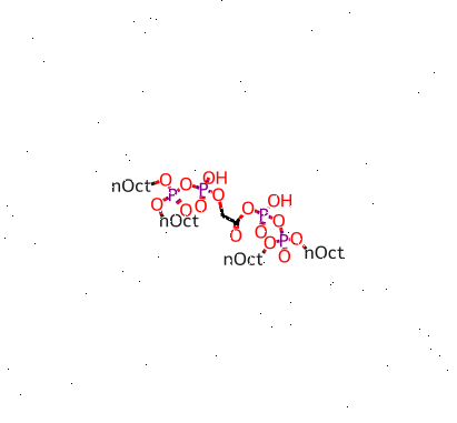 CCCCCCCCOP(=O)(OCCCCCCCC)OP(=O)(O)OCC(=O)OP(=O)(O)OP(=O)(OCCCCCCCC)OCCCCCCCC